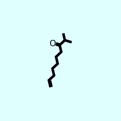 C=CCCCCCC(=O)C(C)C